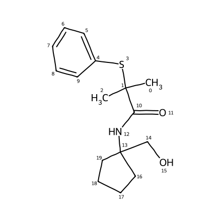 CC(C)(Sc1ccccc1)C(=O)NC1(CO)CCCC1